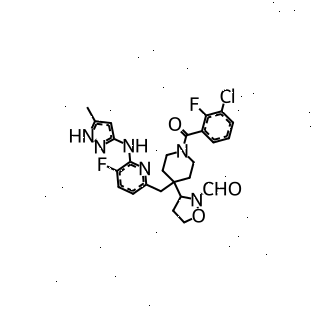 Cc1cc(Nc2nc(CC3(C4CCON4C=O)CCN(C(=O)c4cccc(Cl)c4F)CC3)ccc2F)n[nH]1